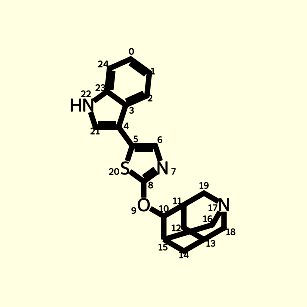 c1ccc2c(-c3cnc(OC4C5CC6CC4CN(C6)C5)s3)c[nH]c2c1